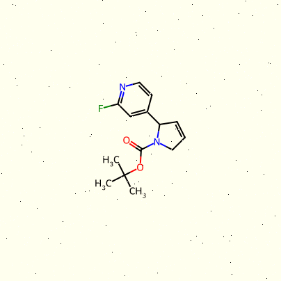 CC(C)(C)OC(=O)N1CC=CC1c1ccnc(F)c1